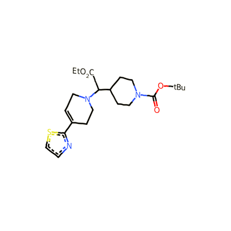 CCOC(=O)C(C1CCN(C(=O)OC(C)(C)C)CC1)N1CC=C(c2nccs2)CC1